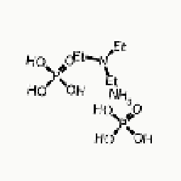 CCN(CC)CC.N.O=P(O)(O)O.O=P(O)(O)O